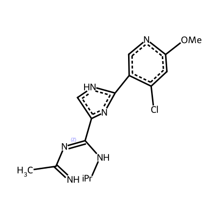 COc1cc(Cl)c(-c2nc(/C(=N/C(C)=N)NC(C)C)c[nH]2)cn1